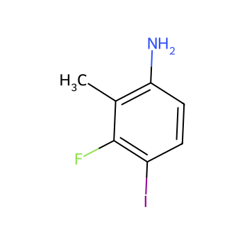 Cc1c(N)ccc(I)c1F